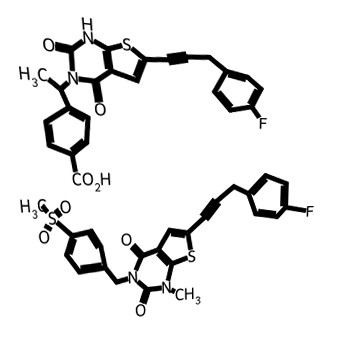 CC(c1ccc(C(=O)O)cc1)n1c(=O)[nH]c2sc(C#CCc3ccc(F)cc3)cc2c1=O.Cn1c(=O)n(Cc2ccc(S(C)(=O)=O)cc2)c(=O)c2cc(C#CCc3ccc(F)cc3)sc21